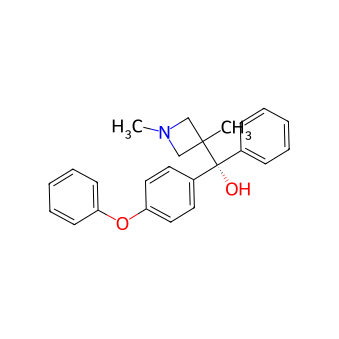 CN1CC(C)([C@@](O)(c2ccccc2)c2ccc(Oc3ccccc3)cc2)C1